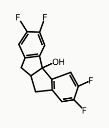 OC12c3cc(F)c(F)cc3CC1Cc1cc(F)c(F)cc12